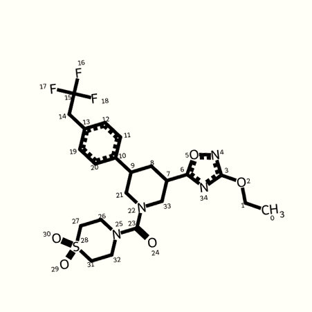 CCOc1noc(C2CC(c3ccc(CC(F)(F)F)cc3)CN(C(=O)N3CCS(=O)(=O)CC3)C2)n1